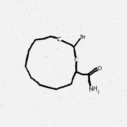 NC(=O)C1CCCCCCCCCC(Br)C1